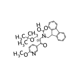 COc1ccc(C(=O)[C@H](COC(C)(C)C)N(CC2c3ccccc3-c3ccccc32)C(=O)O)cn1